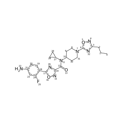 CCCc1noc(N2CCC(N(C(=O)c3noc(-c4ccc(N)cc4F)n3)C3CC3)CC2)n1